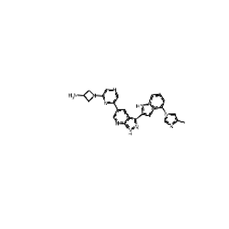 Cc1cn(-c2cccc3[nH]c(-c4n[nH]c5ncc(-c6cncc(N7CC(N)C7)n6)cc45)cc23)cn1